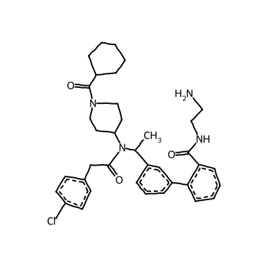 CC(c1cccc(-c2ccccc2C(=O)NCCN)c1)N(C(=O)Cc1ccc(Cl)cc1)C1CCN(C(=O)C2CCCCC2)CC1